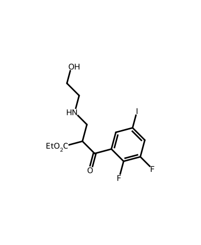 CCOC(=O)C(CNCCO)C(=O)c1cc(I)cc(F)c1F